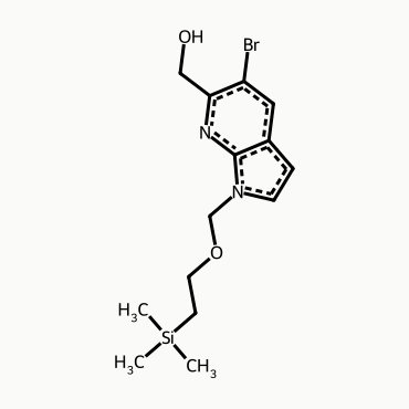 C[Si](C)(C)CCOCn1ccc2cc(Br)c(CO)nc21